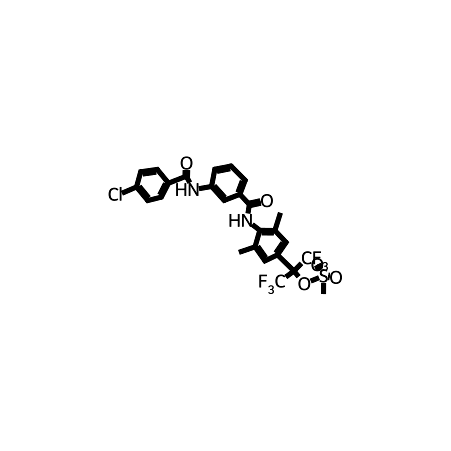 Cc1cc(C(OS(C)(=O)=O)(C(F)(F)F)C(F)(F)F)cc(C)c1NC(=O)c1cccc(NC(=O)c2ccc(Cl)cc2)c1